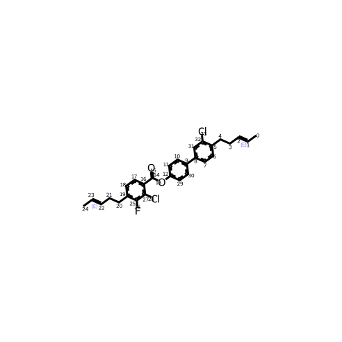 C/C=C/CCc1ccc(-c2ccc(OC(=O)c3ccc(CC/C=C/C)c(F)c3Cl)cc2)cc1Cl